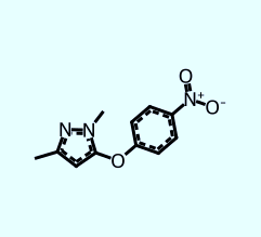 Cc1cc(Oc2ccc([N+](=O)[O-])cc2)n(C)n1